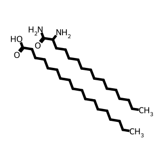 CCCCCCCCCCCCCCC(N)C(N)=O.CCCCCCCCCCCCCCCCCC(=O)O